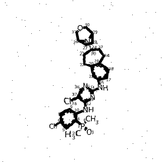 CP(C)(=O)c1cc(Cl)ccc1Nc1nc(Nc2ccc3c(c2)CC[C@H](N2C4CCC2COC4)CC3)ncc1Cl